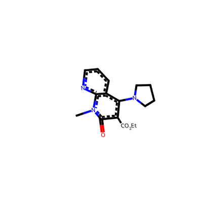 CCOC(=O)c1c(N2CCCC2)c2cccnc2n(C)c1=O